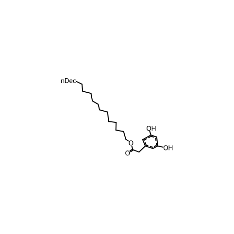 CCCCCCCCCCCCCCCCCCCCCCOC(=O)Cc1cc(O)cc(O)c1